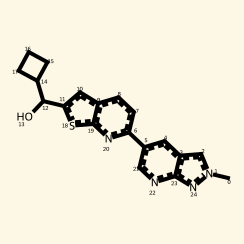 Cn1cc2cc(-c3ccc4cc(C(O)C5CCC5)sc4n3)cnc2n1